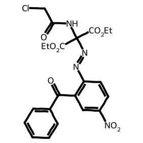 CCOC(=O)C(N=Nc1ccc([N+](=O)[O-])cc1C(=O)c1ccccc1)(NC(=O)CCl)C(=O)OCC